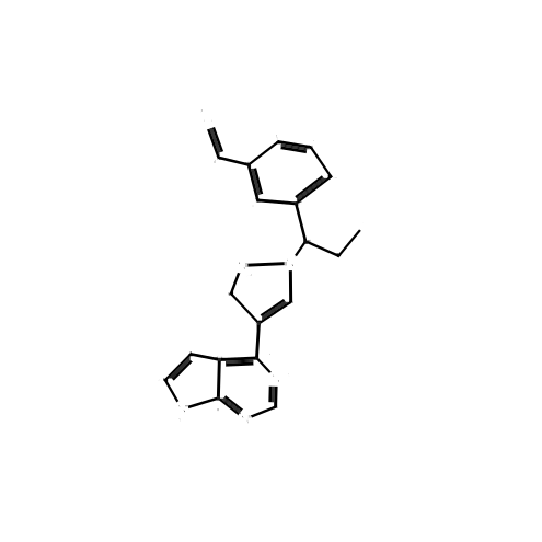 CCC(c1cccc(C=O)c1)N1C=C(c2ncnc3[nH]ccc23)CN1